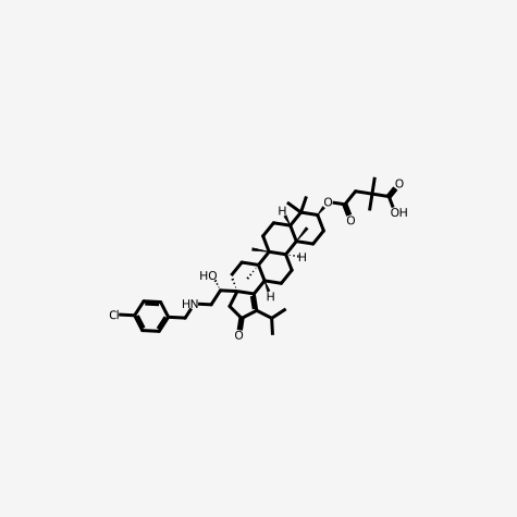 CC(C)C1=C2[C@H]3CC[C@@H]4[C@@]5(C)CC[C@H](OC(=O)CC(C)(C)C(=O)O)C(C)(C)[C@H]5CC[C@@]4(C)[C@]3(C)CC[C@@]2([C@@H](O)CNCc2ccc(Cl)cc2)CC1=O